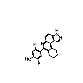 Oc1cc(F)c(-c2nc3ccc4[nH]ncc4c3c3c2CCCC3)cc1F